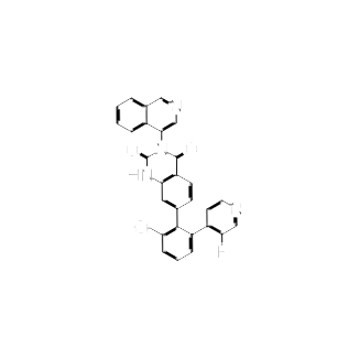 O=c1[nH]c2cc(-c3c(Cl)cccc3-c3ccncc3F)ccc2c(=O)n1-c1cncc2ccccc12